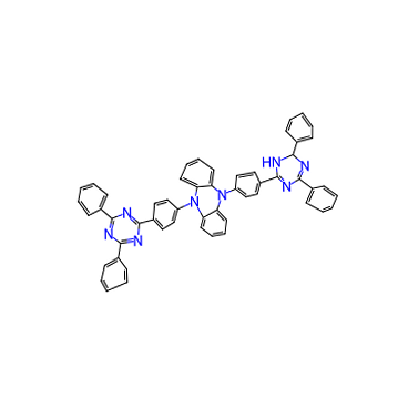 c1ccc(C2=NC(c3ccccc3)NC(c3ccc(N4c5ccccc5N(c5ccc(-c6nc(-c7ccccc7)nc(-c7ccccc7)n6)cc5)c5ccccc54)cc3)=N2)cc1